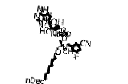 CCCCCCCCCCCCCCCCCCOC[C@H](COP(=O)(O)OC1[C@H]2O[C@@](C#N)(c3ccc4c(N)ncnn34)[C@H](O)[C@@]12O)N(C)Cc1cc(F)cc(C#N)c1